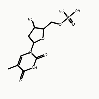 Cc1cn(C2CC(O)C(COP(=O)(O)O)O2)c(=O)[nH]c1=O